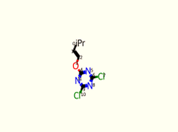 CC(C)C=COc1nc(Cl)nc(Cl)n1